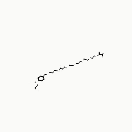 C=C(C)C(=O)NCCOCCOCCOCCOCCC(=O)NCCCNCc1ccc(N(C)CCCl)cc1